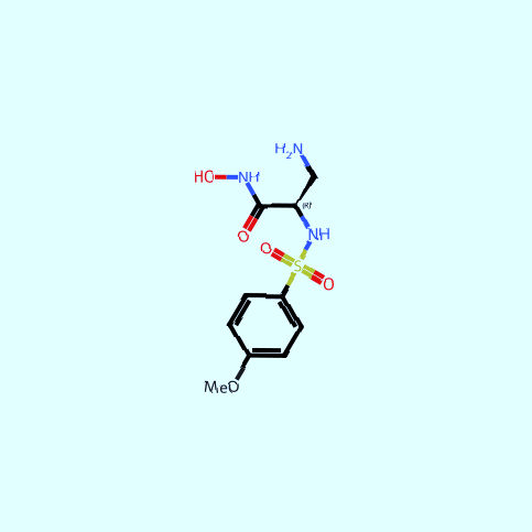 COc1ccc(S(=O)(=O)N[C@H](CN)C(=O)NO)cc1